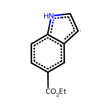 CCOC(=O)c1ccc2[nH]c[c]c2c1